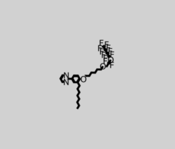 CCCCCCCCc1cc(-c2ncccn2)ccc1OCCCCCCOCC(F)(F)OC(F)(F)C(F)(F)C(F)(F)C(F)(F)F